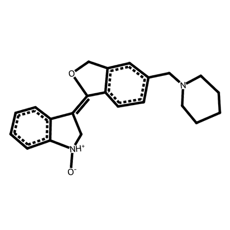 [O-][NH+]1CC(=C2OCc3cc(CN4CCCCC4)ccc32)c2ccccc21